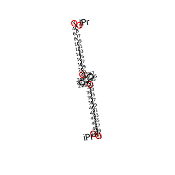 CC(C)OC(=O)C=CCCCCCCCCCCCCCCCCOc1c2ccccc2c(OCCCCCCCCCCCCCCCCC=CC(=O)OC(C)C)c2ccccc12